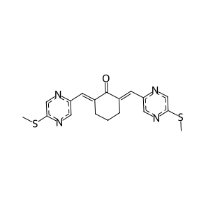 CSc1cnc(/C=C2\CCC/C(=C\c3cnc(SC)cn3)C2=O)cn1